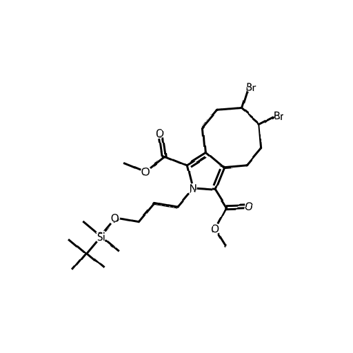 COC(=O)c1c2c(c(C(=O)OC)n1CCCO[Si](C)(C)C(C)(C)C)CCC(Br)C(Br)CC2